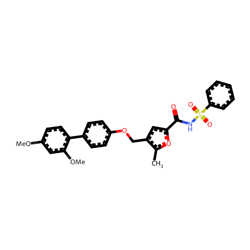 COc1ccc(-c2ccc(OCc3cc(C(=O)NS(=O)(=O)c4ccccc4)oc3C)cc2)c(OC)c1